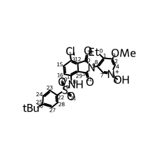 CCc1c(OC)c[n+](O)cc1N1C(=O)c2c(Cl)ccc(NS(=O)(=O)c3ccc(C(C)(C)C)cc3)c2C1=O